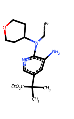 CCOC(=O)C(C)(C)c1cnc(N(CC(C)C)C2CCOCC2)c(N)c1